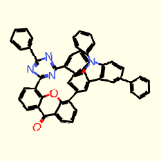 O=c1c2cccc(-c3ccc4c(c3)c3cc(-c5ccccc5)ccc3n4-c3ccccc3)c2oc2c(-c3nc(-c4ccccc4)nc(-c4ccccc4)n3)cccc12